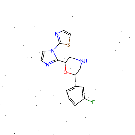 Fc1cccc(C2CNCC(c3nccn3-c3nccs3)O2)c1